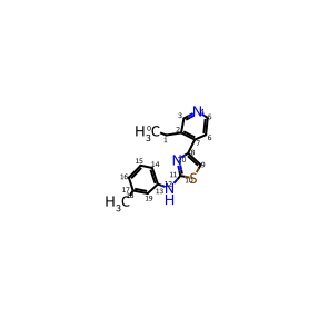 CCc1cnccc1-c1csc(Nc2cccc(C)c2)n1